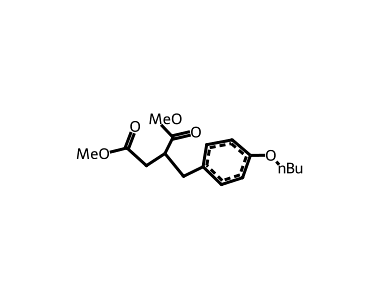 CCCCOc1ccc(CC(CC(=O)OC)C(=O)OC)cc1